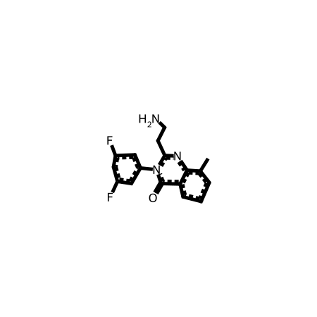 Cc1cccc2c(=O)n(-c3cc(F)cc(F)c3)c(CCN)nc12